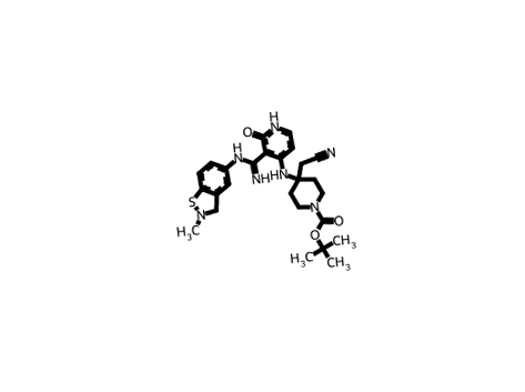 CN1Cc2cc(NC(=N)c3c(NC4(CC#N)CCN(C(=O)OC(C)(C)C)CC4)cc[nH]c3=O)ccc2S1